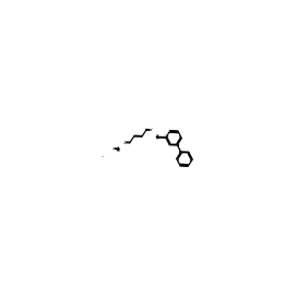 CC(C)(C)OC(=O)NCCC[C@H](NC(=O)c1cccc(-c2ccccc2)c1)C(=O)O